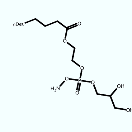 CCCCCCCCCCCCCC(=O)OCCOP(=O)(ON)OCC(O)CO